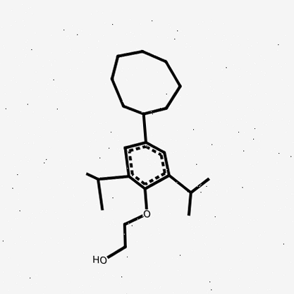 CC(C)c1cc(C2CCCCCCC2)cc(C(C)C)c1OCCO